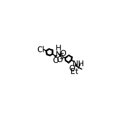 CCC(C)(C)C(=O)Nc1ccc(S(=O)(=O)NC(=O)c2ccc(Cl)cc2)cc1